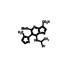 COc1nc2c(C(=O)O)cnn2c(NC(C)C(C)C)c1-c1sccc1C